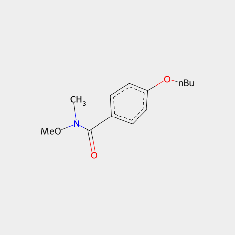 CCCCOc1ccc(C(=O)N(C)OC)cc1